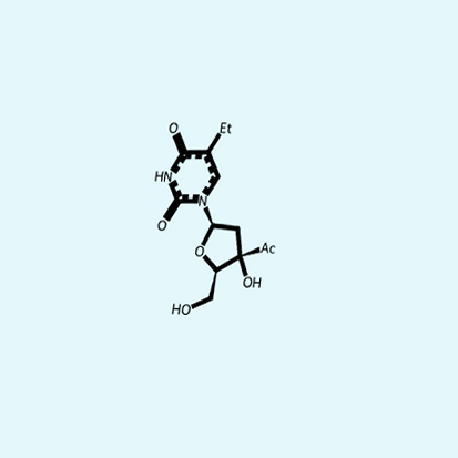 CCc1cn([C@H]2C[C@@](O)(C(C)=O)[C@@H](CO)O2)c(=O)[nH]c1=O